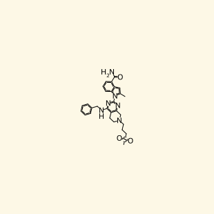 Cc1cc2c(C(N)=O)cccc2n1-c1nc2c(c(NCc3ccccc3)n1)CCN(CCCS(C)(=O)=O)C2